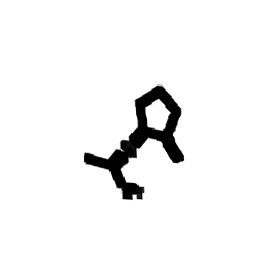 C=C1CCCC1=[Si]=C(C)C(C)C